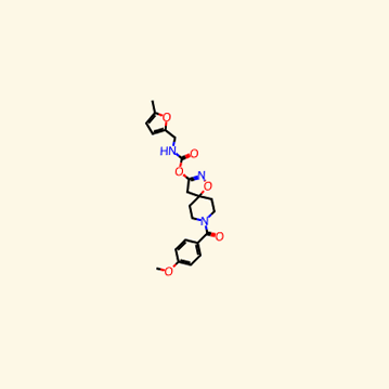 COc1ccc(C(=O)N2CCC3(CC2)CC(OC(=O)NCc2ccc(C)o2)=NO3)cc1